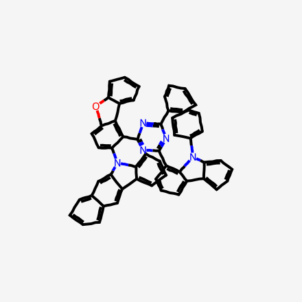 c1ccc(-c2nc(-c3c(-n4c5ccccc5c5cc6ccccc6cc54)ccc4oc5ccccc5c34)nc(-c3cccc4c5ccccc5n(-c5ccccc5)c34)n2)cc1